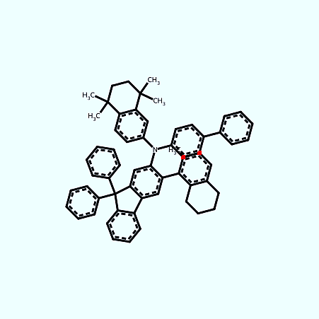 Cc1ccc2c(c1-c1cc3c(cc1N(c1ccc(-c4ccccc4)cc1)c1ccc4c(c1)C(C)(C)CCC4(C)C)C(c1ccccc1)(c1ccccc1)c1ccccc1-3)CCCC2